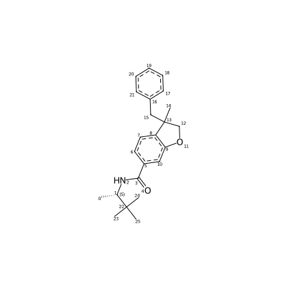 C[C@H](NC(=O)c1ccc2c(c1)OCC2(C)Cc1ccccc1)C(C)(C)C